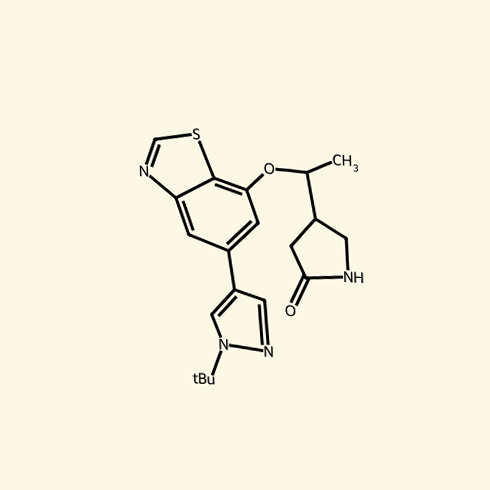 CC(Oc1cc(-c2cnn(C(C)(C)C)c2)cc2ncsc12)C1CNC(=O)C1